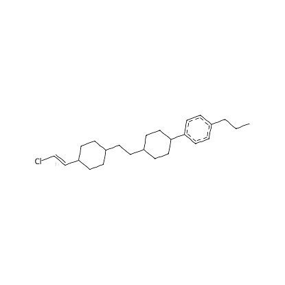 CCCc1ccc(C2CCC(CCC3CCC(/C=C/Cl)CC3)CC2)cc1